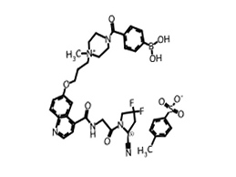 C[N+]1(CCCOc2ccc3nccc(C(=O)NCC(=O)N4CC(F)(F)C[C@H]4C#N)c3c2)CCN(C(=O)c2ccc(B(O)O)cc2)CC1.Cc1ccc(S(=O)(=O)[O-])cc1